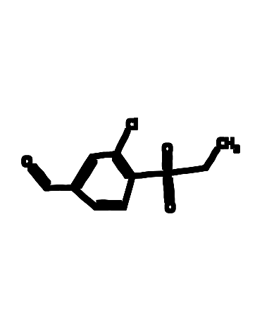 CCS(=O)(=O)c1ccc(C=O)cc1Cl